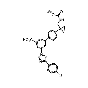 CC(C)(C)OC(=O)NCC1(c2ccc(-c3cc(C(=O)O)cc(-n4cc(-c5ccc(C(F)(F)F)cc5)nn4)c3)cc2)CC1